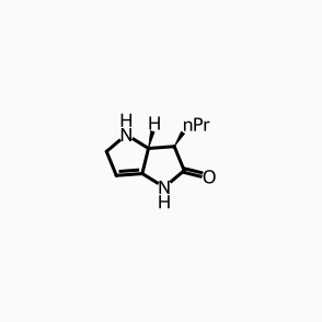 CCC[C@H]1C(=O)NC2=CCN[C@@H]21